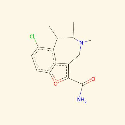 CC1c2c(Cl)ccc3oc(C(N)=O)c(c23)CN(C)C1C